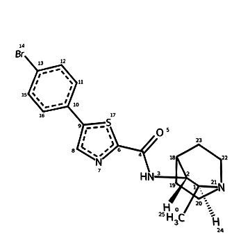 C[C@H]1[C@H](NC(=O)c2ncc(-c3ccc(Br)cc3)s2)C2CCN1CC2